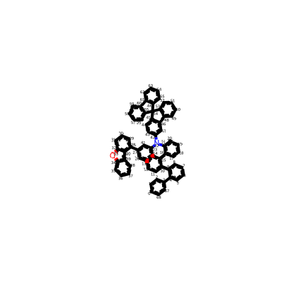 c1ccc(-c2ccccc2-c2ccccc2-c2ccccc2N(c2cccc(-c3cccc4oc5ccccc5c34)c2)c2ccc3c(c2)-c2ccccc2C32c3ccccc3-c3ccccc32)cc1